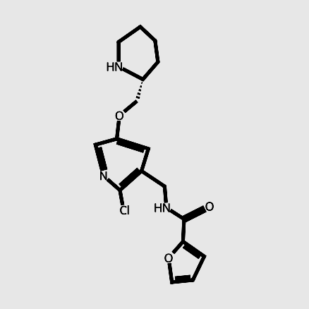 O=C(NCc1cc(OC[C@H]2CCCCN2)cnc1Cl)c1ccco1